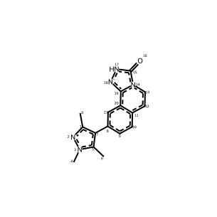 Cc1nn(C)c(C)c1-c1ccc2ccn3c(=O)[nH]nc3c2c1